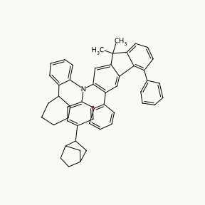 CC1(C)c2cc(N(c3ccc(C4CC5CCC4C5)cc3)c3ccccc3C3CCCCC3)c(-c3ccccc3)cc2-c2c(-c3ccccc3)cccc21